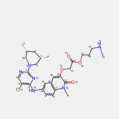 C[C@@H]1C[C@H](C)CN(c2ncc(Cl)c(Nc3ccc4c(c3)cc(OCC(=O)OCCCN(C)C)c(=O)n4C)n2)C1